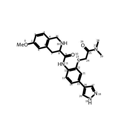 COc1ccc2c(c1)CC(C(=O)Nc1ccc(-c3cn[nH]c3)cc1SCC(=O)N(C)C)NC2